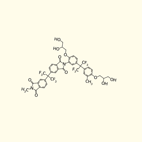 Cc1cc(C(c2ccc(OCC(O)CO)c(N3C(=O)c4ccc(C(c5ccc6c(c5)C(=O)N(C)C6=O)(C(F)(F)F)C(F)(F)F)cc4C3=O)c2)(C(F)(F)F)C(F)(F)F)ccc1OCC(O)CO